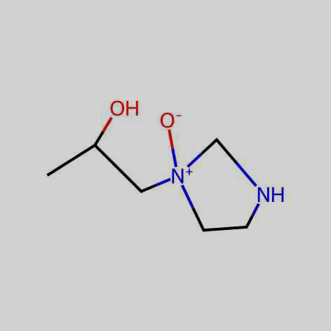 CC(O)C[N+]1([O-])CCNC1